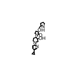 O=C1C(OCC2CCCN2)CCN1C1CCN(c2ccc(C3CC3)cn2)CC1O